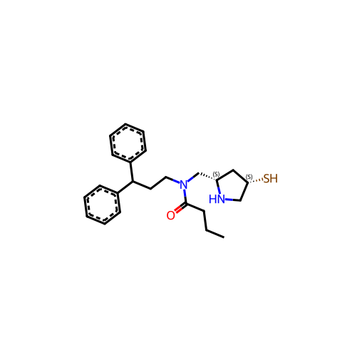 CCCC(=O)N(CCC(c1ccccc1)c1ccccc1)C[C@@H]1C[C@H](S)CN1